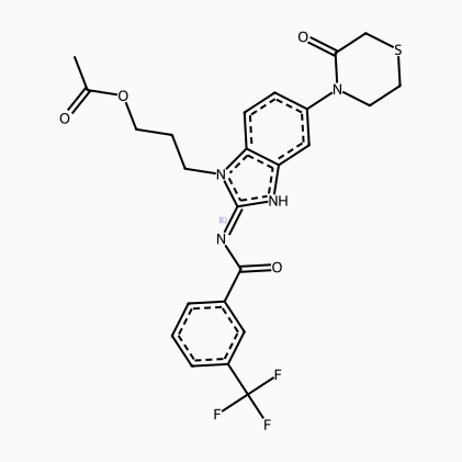 CC(=O)OCCCn1/c(=N/C(=O)c2cccc(C(F)(F)F)c2)[nH]c2cc(N3CCSCC3=O)ccc21